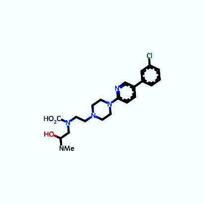 CNC(O)CN(CCN1CCN(c2ccc(-c3cccc(Cl)c3)cn2)CC1)C(=O)O